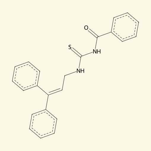 O=C(NC(=S)NCC=C(c1ccccc1)c1ccccc1)c1ccccc1